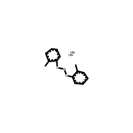 Br.Br.Cc1ccccc1[O][Zr][O]c1ccccc1C